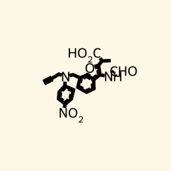 C#CCN(Cc1cccc2c(NC=O)c(C(C)C(=O)O)oc12)c1ccc([N+](=O)[O-])cc1